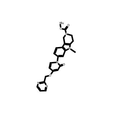 Cn1c2c(c3ccc(-n4ccc(OCc5ncccn5)cc4=O)cc31)CN(C(=O)OC(C)(C)C)CC2